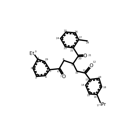 CCc1cccc(C(=O)C[C](CC(=O)c2ccc(C(C)C)cc2)C(=O)c2ccccc2C)c1